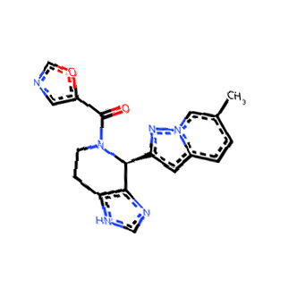 Cc1ccc2cc([C@H]3c4nc[nH]c4CCN3C(=O)c3cnco3)nn2c1